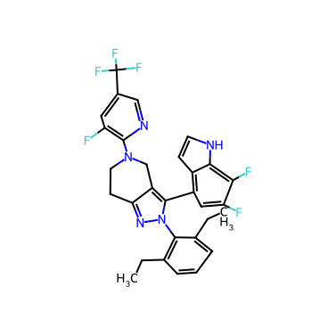 CCc1cccc(CC)c1-n1nc2c(c1-c1cc(F)c(F)c3[nH]ccc13)CN(c1ncc(C(F)(F)F)cc1F)CC2